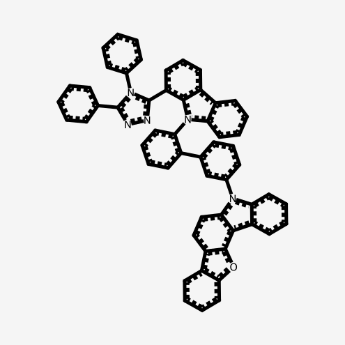 c1ccc(-c2nnc(-c3cccc4c5ccccc5n(-c5ccccc5-c5cccc(-n6c7ccccc7c7c8oc9ccccc9c8ccc76)c5)c34)n2-c2ccccc2)cc1